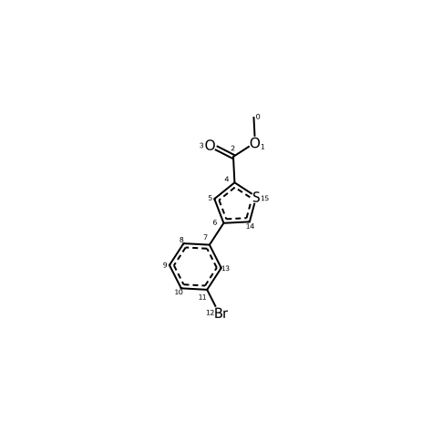 COC(=O)c1cc(-c2cccc(Br)c2)cs1